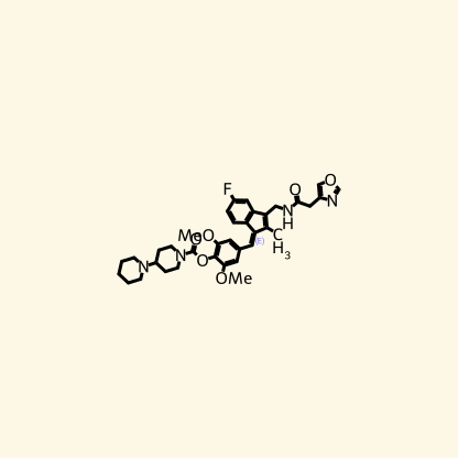 COc1cc(/C=C2/C(C)=C(CNC(=O)Cc3cocn3)c3cc(F)ccc32)cc(OC)c1OC(=O)N1CCC(N2CCCCC2)CC1